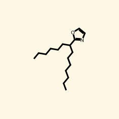 CCCCCCCC(CCCCCC)c1ncco1